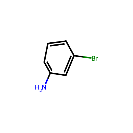 Nc1cc[c]c(Br)c1